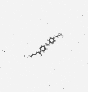 CCCCCC(=O)c1ccc(N=Nc2ccc(OCC)cc2)cc1